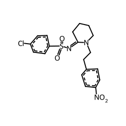 O=[N+]([O-])c1ccc(CCN2CCCCC2=NS(=O)(=O)c2ccc(Cl)cc2)cc1